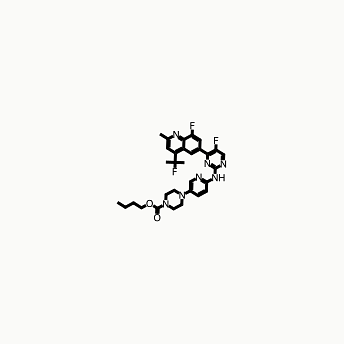 CCCCOC(=O)N1CCN(c2ccc(Nc3ncc(F)c(-c4cc(F)c5nc(C)cc(C(C)(C)F)c5c4)n3)nc2)CC1